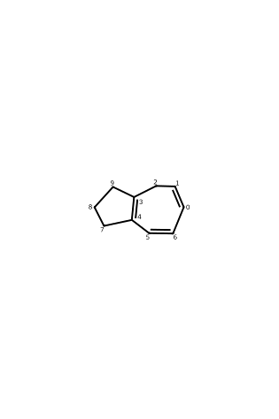 C1=CCC2=C(C=C1)CCC2